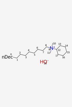 CCCCCCCCCCCCCCCCCC[N+](C)(C)C1CCCCC1.[OH-]